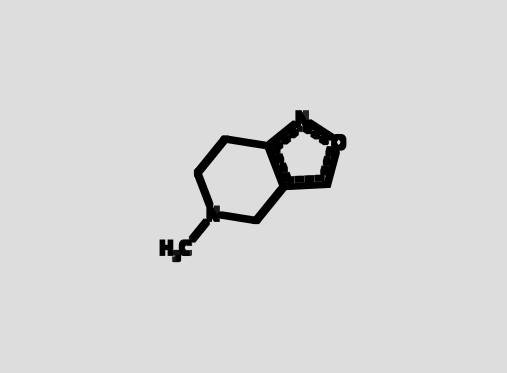 CN1CCc2nocc2C1